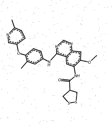 COc1cc2ncnc(Nc3ccc(Oc4ccc(C)nc4)c(C)c3)c2cc1NC(=O)C1CSSC1